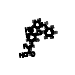 O=C(O)C(F)=Cc1cnc(N[C@@H]2CCN(Cc3ccccc3)C2)c(Cl)c1